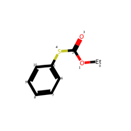 CCOC(=O)Sc1ccccc1